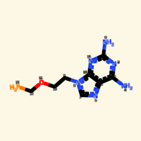 Nc1nc(N)c2ncn(CCOCP)c2n1